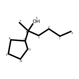 CCCCC(C)(O)C1CCCC1